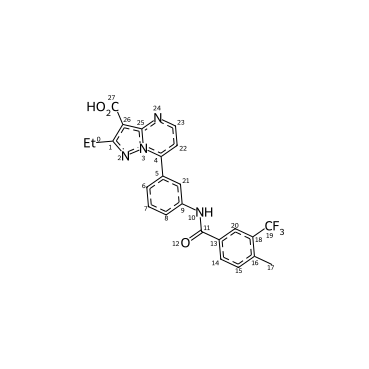 CCc1nn2c(-c3cccc(NC(=O)c4ccc(C)c(C(F)(F)F)c4)c3)ccnc2c1C(=O)O